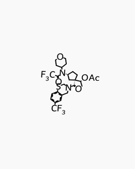 CC(=O)O[C@H](C)[C@]1(C(=O)N2CSc3ccc(C(F)(F)F)cc3C2)CC[C@@H](N(C(=O)C(F)(F)F)C2CCOCC2)C1